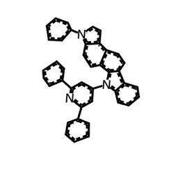 c1ccc(-c2cc(-n3c4ccccc4c4ccc5c6ccn(-c7ccccc7)c6ccc5c43)cc(-c3ccccc3)n2)cc1